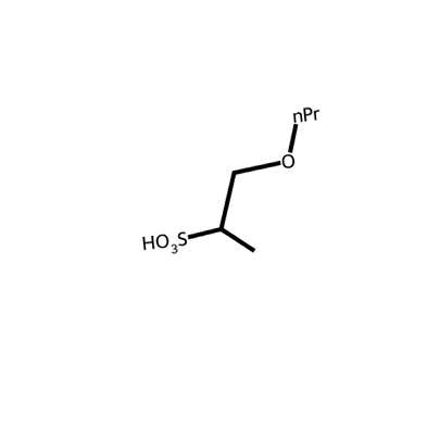 CCCOCC(C)S(=O)(=O)O